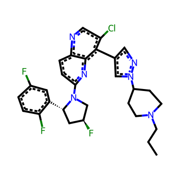 CCCN1CCC(n2cc(-c3c(Cl)cnc4ccc(N5C[C@@H](F)C[C@@H]5c5cc(F)ccc5F)nc34)cn2)CC1